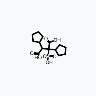 O=C(O)C(C1CCCC1)C(C(=O)O)(C1CCCC1)S(=O)(=O)O